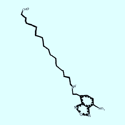 O=[C]CCCCCCCCCCCCCCCNCc1ccc([N+](=O)[O-])c2nonc12